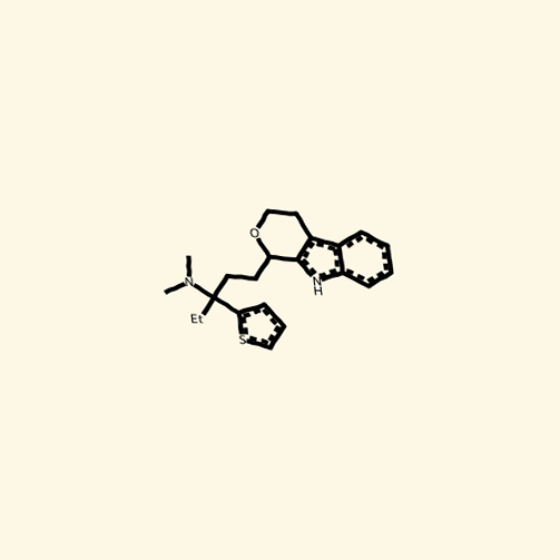 CCC(CCC1OCCc2c1[nH]c1ccccc21)(c1cccs1)N(C)C